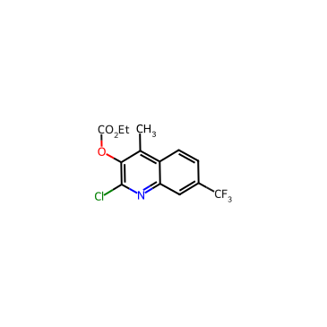 CCOC(=O)Oc1c(Cl)nc2cc(C(F)(F)F)ccc2c1C